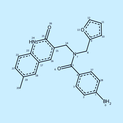 Bc1ccc(C(=O)N(Cc2ccco2)Cc2cc3cc(C)ccc3[nH]c2=O)cc1